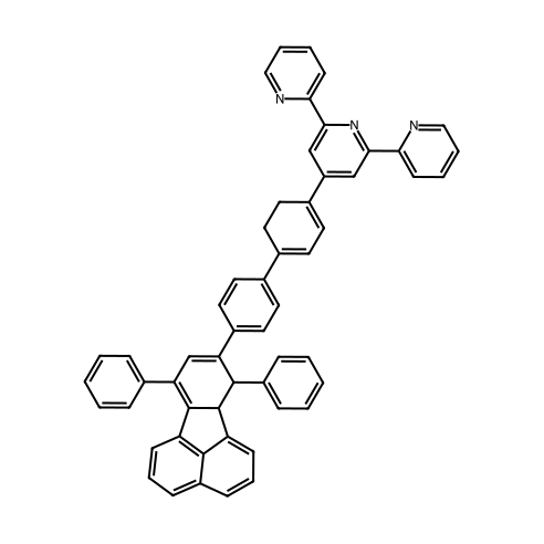 C1=C(c2ccc(C3=CC(c4ccccc4)=C4c5cccc6cccc(c56)C4C3c3ccccc3)cc2)CCC(c2cc(-c3ccccn3)nc(-c3ccccn3)c2)=C1